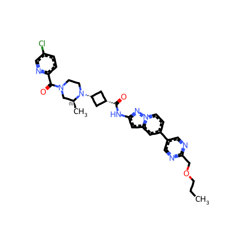 CCCOCc1ncc(-c2ccn3nc(NC(=O)[C@H]4C[C@@H](N5CCN(C(=O)c6ccc(Cl)cn6)C[C@@H]5C)C4)cc3c2)cn1